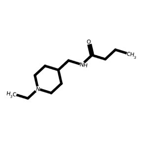 CCCC(=O)NCC1CCN(CC)CC1